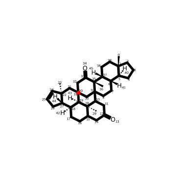 C[C@@]12CCC[C@H]1[C@@H]1CCC3(C4CC(=O)CC5CC[C@@H]6[C@@H](CC[C@]7(C)C=CC[C@@H]67)[C@]54C)CCCC(=O)[C@]3(C)[C@@H]1CC2